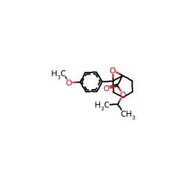 COc1ccc(C23CCCCC2(C(=O)OC(C)C)O3)cc1